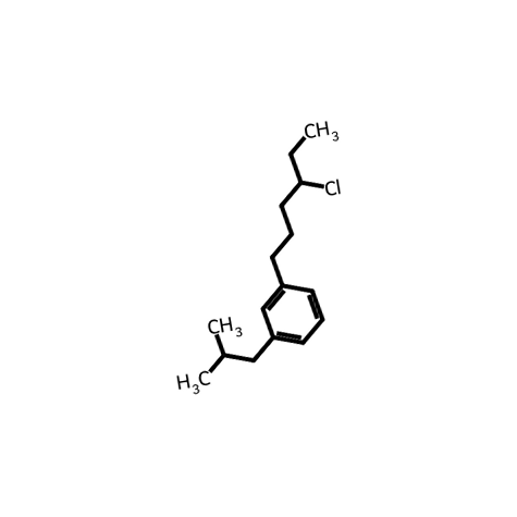 CCC(Cl)CCCc1cccc(CC(C)C)c1